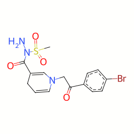 CS(=O)(=O)N(N)C(=O)C1=CN(CC(=O)c2ccc(Br)cc2)C=CC1